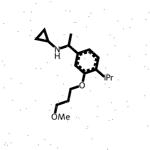 COCCCOc1cc(C(C)NC2CC2)ccc1C(C)C